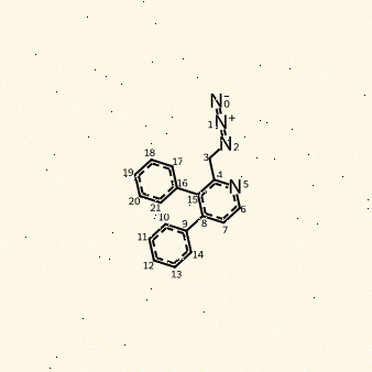 [N-]=[N+]=NCc1nccc(-c2ccccc2)c1-c1ccccc1